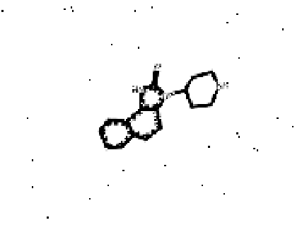 O=c1[nH]c2c3ccccc3ccc2n1C1CCNCC1